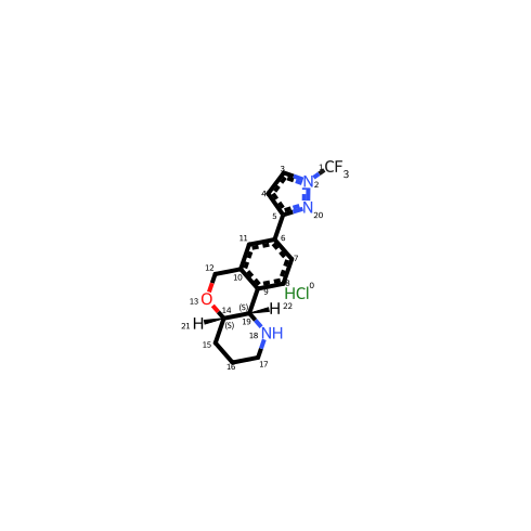 Cl.FC(F)(F)n1ccc(-c2ccc3c(c2)CO[C@H]2CCCN[C@@H]32)n1